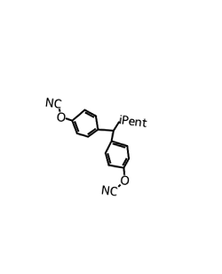 CCCC(C)C(c1ccc(OC#N)cc1)c1ccc(OC#N)cc1